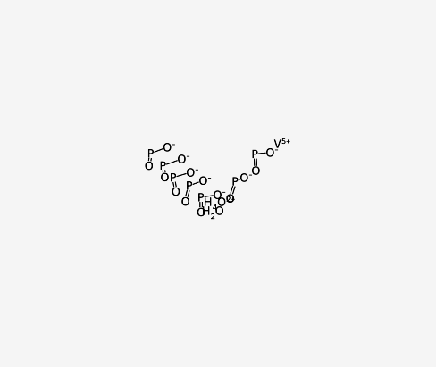 O.O=P[O-].O=P[O-].O=P[O-].O=P[O-].O=P[O-].O=P[O-].O=P[O-].[OH4+2].[V+5]